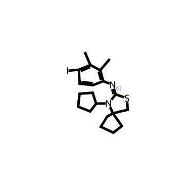 Cc1c(I)ccc(/N=C2/SCC3(CCCC3)N2C2CCCC2)c1C